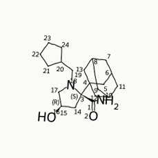 NC(=O)[C@@]1(C23CC4CC(CC(C4)C2)C3)C[C@@H](O)CN1CC1CCCC1